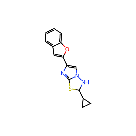 c1ccc2oc(-c3cn4c(n3)SC(C3CC3)N4)cc2c1